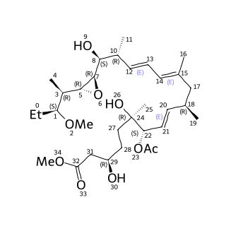 CC[C@H](OC)[C@@H](C)[C@H]1O[C@@H]1[C@@H](O)[C@H](C)/C=C/C=C(\C)C[C@@H](C)/C=C/[C@H](OC(C)=O)[C@](C)(O)CC[C@@H](O)CC(=O)OC